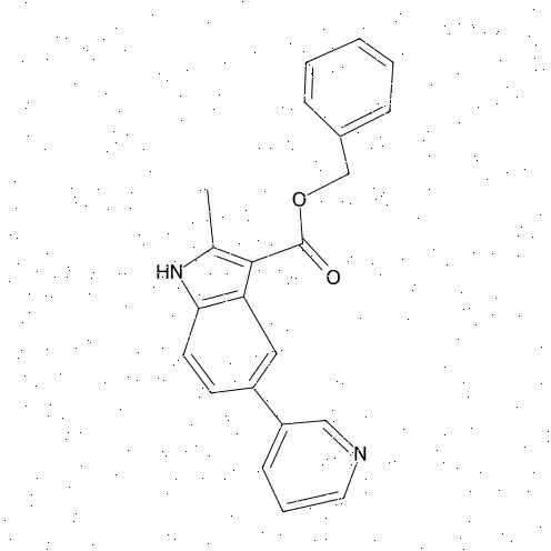 Cc1[nH]c2ccc(-c3cccnc3)cc2c1C(=O)OCc1ccccc1